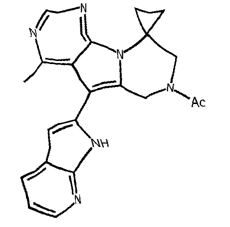 CC(=O)N1Cc2c(-c3cc4cccnc4[nH]3)c3c(C)ncnc3n2C2(CC2)C1